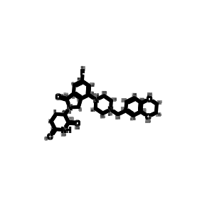 O=C1CCC(N2Cc3c(cc(F)cc3N3CCN(Cc4ccc5c(c4)OCCO5)CC3)C2=O)C(=O)N1